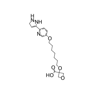 O=C(O)C1(OCCCCCCCOc2ccc(C3=CCNN3)nc2)COC1